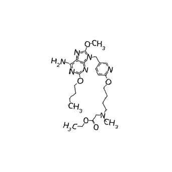 CCCCOc1nc(N)c2nc(OC)n(Cc3ccc(OCCCCN(C)CC(=O)OCC)nc3)c2n1